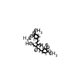 COc1ccc(/C=C/C(=O)C(CCO)C(=S)/C=C/c2ccc(OC)c(OC)c2)cc1OC